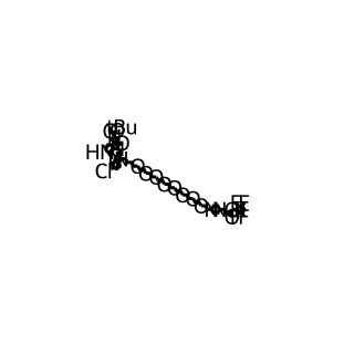 CC(C)(C)OC(=O)N1CC2(C1)C(=O)N(Cc1nc3cc(Cl)ccc3n1CCCCOCCOCCOCCOCCOCCOCCOCCOCCN1CCN(CCC(=O)Oc3c(F)c(F)cc(F)c3F)CC1)C1=C2C=CNC1